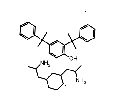 CC(C)(c1ccccc1)c1ccc(O)c(C(C)(C)c2ccccc2)c1.CC(N)CC1CCCC(CC(C)N)C1